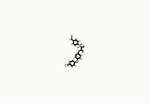 C[Si](C)(C(F)=C(F)Cc1ccc(Oc2ccc(Cl)cc2)cc1)c1ccc(CF)cc1